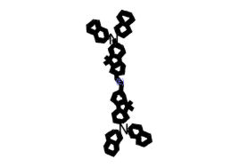 CC1(C)c2cc(/C=C/c3ccc4c(c3)C(C)(C)c3cc(N(c5ccc6ccccc6c5)c5ccc6ccccc6c5)ccc3-4)ccc2-c2ccc(N(c3ccc4ccccc4c3)c3ccc4ccccc4c3)cc21